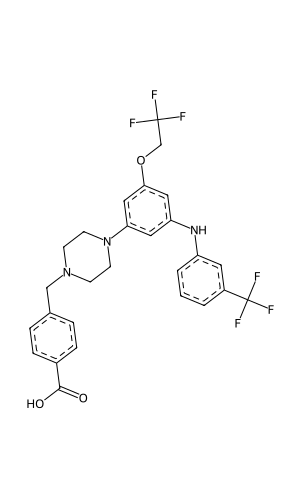 O=C(O)c1ccc(CN2CCN(c3cc(Nc4cccc(C(F)(F)F)c4)cc(OCC(F)(F)F)c3)CC2)cc1